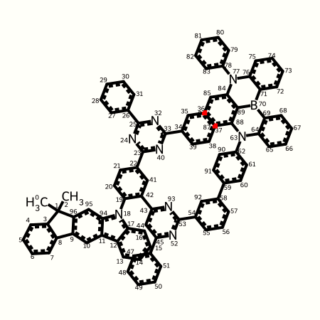 CC1(C)c2ccccc2-c2cc3c4ccccc4n(-c4ccc(-c5nc(-c6ccccc6)nc(-c6ccccc6)n5)cc4-c4cc(-c5ccccc5)nc(-c5cccc(-c6ccc(N7c8ccccc8B8c9ccccc9N(c9ccccc9)c9cccc7c98)cc6)c5)n4)c3cc21